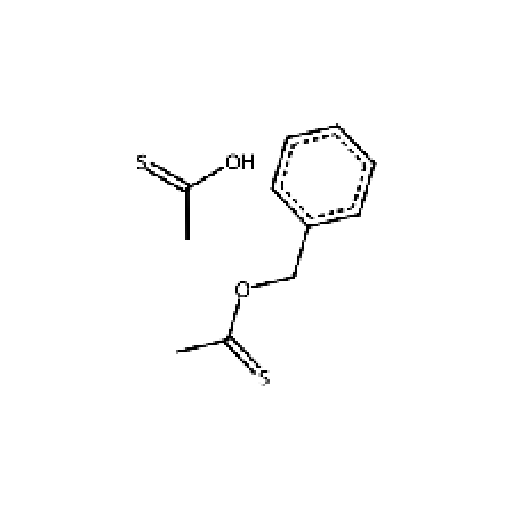 CC(=S)OCc1ccccc1.CC(O)=S